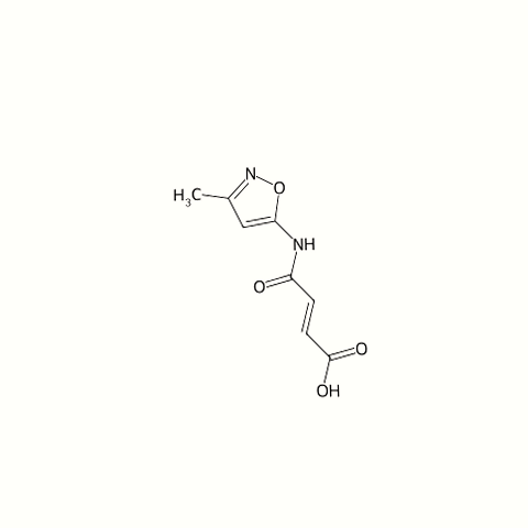 Cc1cc(NC(=O)/C=C/C(=O)O)on1